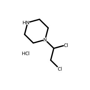 Cl.ClCC(Cl)N1CCNCC1